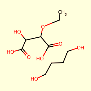 CCOC(C(=O)O)C(O)C(=O)O.OCCCCO